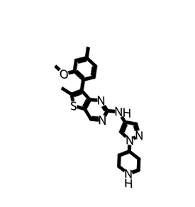 COc1cc(C)ccc1-c1c(C)sc2cnc(Nc3cnn(C4CCNCC4)c3)nc12